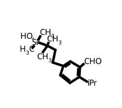 CC(C)c1ccc(CCC(C)(C)[Si](C)(C)O)cc1C=O